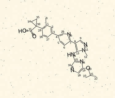 Cc1cc(-c2ccc(-c3cnn(C)c3Nc3cncc(OC(C)C)n3)nc2)ccc1C1(C(=O)O)CC1